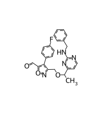 CC(OCc1noc(C=O)c1-c1ccc(F)cc1)c1ccnc(NCc2ccccc2)n1